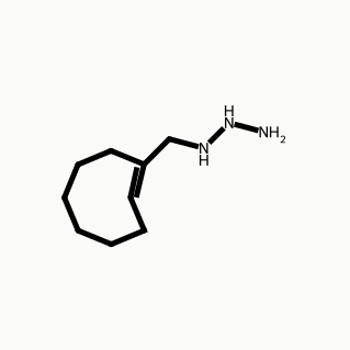 NNNC/C1=C\CCCCCC1